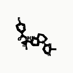 Cc1nccc(N2CCCc3nc([C@]4(NC(=O)c5ccc(F)cc5)C[C@@H]4C)ccc32)n1